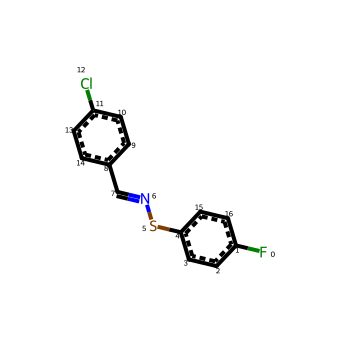 Fc1ccc(S/N=C/c2ccc(Cl)cc2)cc1